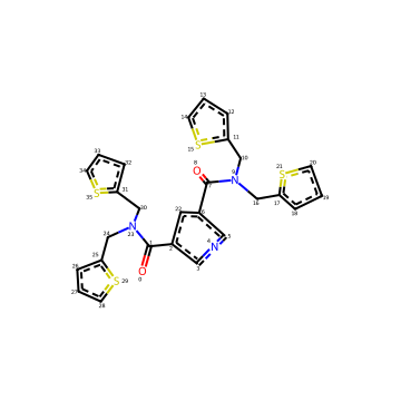 O=C(c1cncc(C(=O)N(Cc2cccs2)Cc2cccs2)c1)N(Cc1cccs1)Cc1cccs1